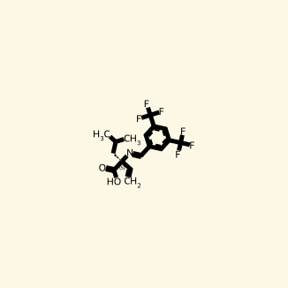 C=C[C@](CC(C)C)(N=Cc1cc(C(F)(F)F)cc(C(F)(F)F)c1)C(=O)O